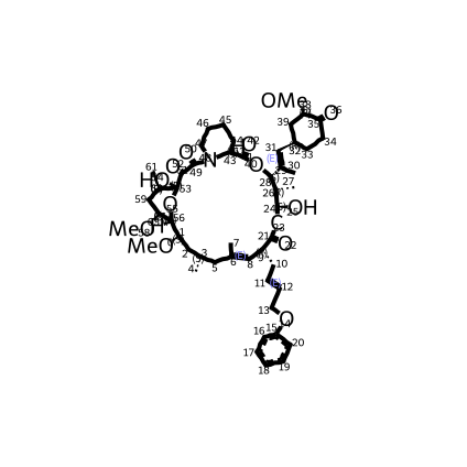 CO[C@H]1C[C@@H](C)C/C(C)=C/[C@@H](C/C=C/COc2ccccc2)C(=O)C[C@H](O)[C@@H](C)[C@@H](/C(C)=C/[C@@H]2CCC(=O)[C@H](OC)C2)OC(=O)[C@@H]2CCCCN2C(=O)C(=O)[C@]2(O)O[C@H]1[C@@H](OC)C[C@H]2C